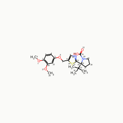 COc1ccc(OCc2cnc([C@@]3(C(C)(C)C)CCCN3C(=O)O)s2)cc1OC